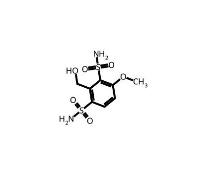 COc1ccc(S(N)(=O)=O)c(CO)c1S(N)(=O)=O